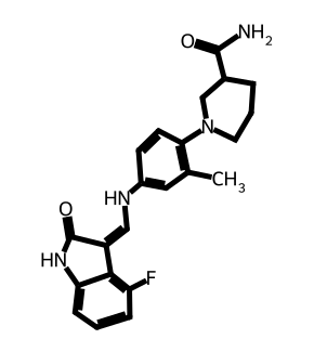 Cc1cc(NC=C2C(=O)Nc3cccc(F)c32)ccc1N1CCCC(C(N)=O)C1